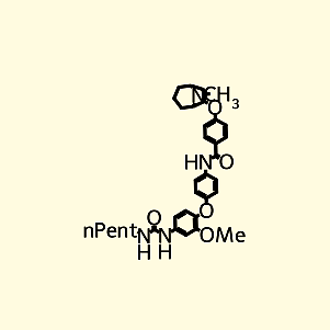 CCCCCNC(=O)Nc1ccc(Oc2ccc(NC(=O)c3ccc(OC4CC5CCCC4N5C)cc3)cc2)c(OC)c1